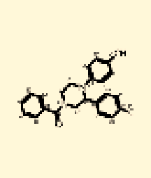 Cc1ccc(N2CCN(C(=O)c3ccccc3)CC2c2ccc(Cl)cc2)cc1